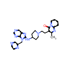 Cc1nc2ccccn2c(=O)c1CCN1CCC(Nc2nc3cncnc3n2Cc2cnccn2)CC1